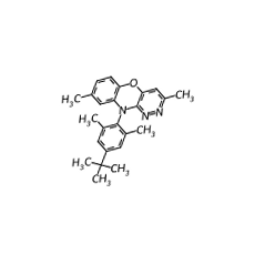 Cc1ccc2c(c1)N(c1c(C)cc(C(C)(C)C)cc1C)c1nnc(C)cc1O2